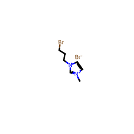 C[n+]1ccn(CCCBr)c1.[Br-]